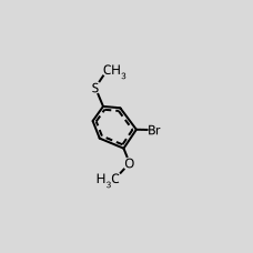 COc1ccc(SC)cc1Br